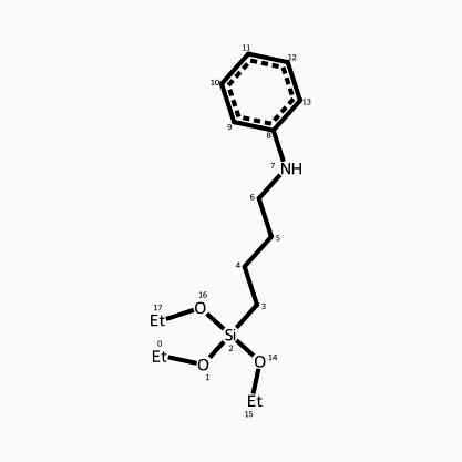 CCO[Si](CCCCNc1ccccc1)(OCC)OCC